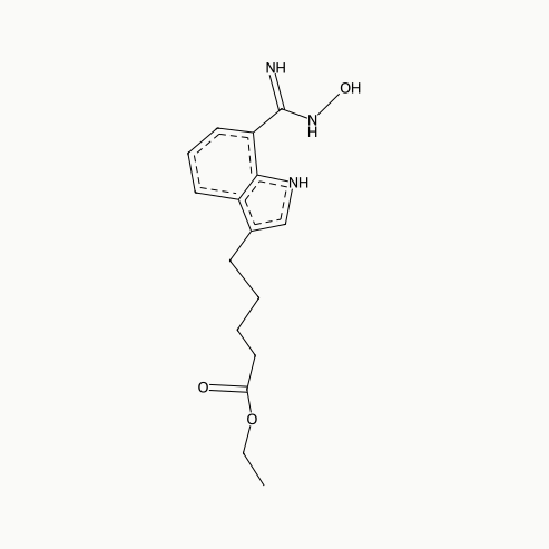 CCOC(=O)CCCCc1c[nH]c2c(C(=N)NO)cccc12